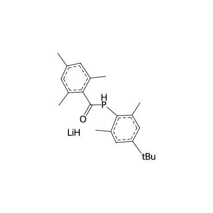 Cc1cc(C)c(C(=O)Pc2c(C)cc(C(C)(C)C)cc2C)c(C)c1.[LiH]